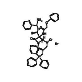 O=C(COc1ccccc1)NC1(C(=O)OC(c2ccccc2)[N+](=O)[O-])C(=O)N2C=C(C[P+](c3ccccc3)(c3ccccc3)c3ccccc3)C[S+]([O-])[C@H]21.[Br-]